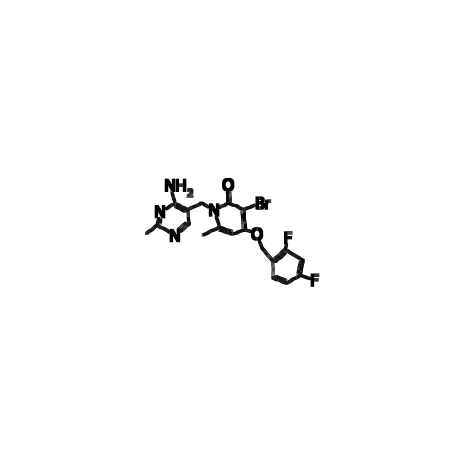 Cc1ncc(Cn2c(C)cc(OCc3ccc(F)cc3F)c(Br)c2=O)c(N)n1